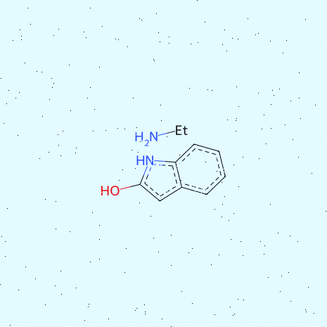 CCN.Oc1cc2ccccc2[nH]1